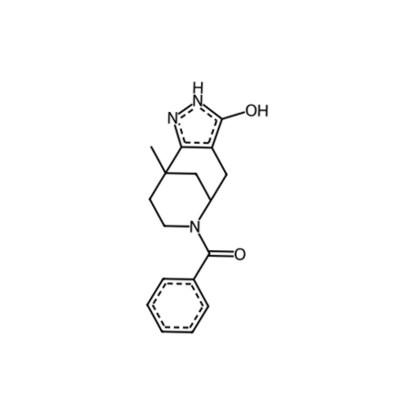 CC12CCN(C(=O)c3ccccc3)C(Cc3c1n[nH]c3O)C2